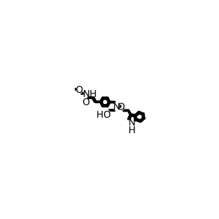 COCNC(=O)/C=C/c1ccc(CN(CCO)OCCc2c[nH]c3ccccc23)cc1